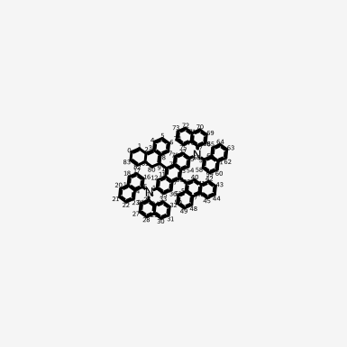 C1=CC2=c3ccccc3=C(c3c4cc(N(c5cccc6ccccc56)c5cccc6ccccc56)ccc4c(-c4cc5ccccc5c5ccccc45)c4cc(N(c5cccc6ccccc56)c5cccc6ccccc56)ccc34)CC2C=C1